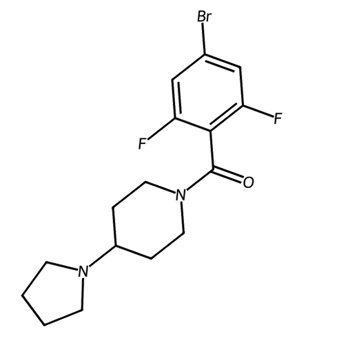 O=C(c1c(F)cc(Br)cc1F)N1CCC(N2CCCC2)CC1